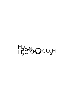 CC(C)=NOc1ccc(C(=O)O)cc1